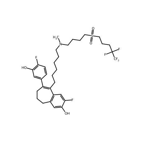 CN(CCCCCCC1=C(c2ccc(F)c(O)c2)CCCc2cc(O)c(F)cc21)CCCCS(=O)(=O)CCCC(F)(F)C(F)(F)F